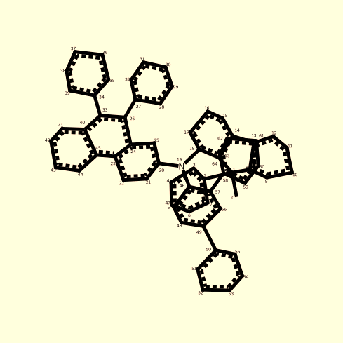 CC1(c2ccccc2)c2ccccc2-c2cccc(N(c3ccc4c(c3)c(-c3ccccc3)c(-c3ccccc3)c3ccccc34)c3ccc(-c4ccccc4)cc3-c3ccccc3)c21